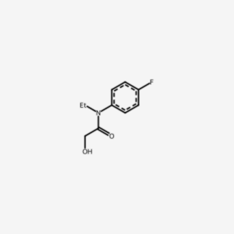 CCN(C(=O)CO)c1ccc(F)cc1